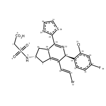 O=C(O)CS(=O)(=O)N[C@H]1CC2=C(/C=C/Br)[C@H](c3ccc(F)cc3Cl)N=C(c3nccs3)N2C1